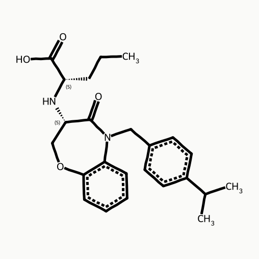 CCC[C@H](N[C@H]1COc2ccccc2N(Cc2ccc(C(C)C)cc2)C1=O)C(=O)O